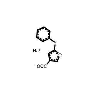 O=C([O-])c1coc(Sc2ccccc2)c1.[Na+]